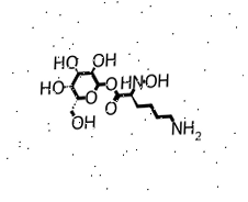 NCCCC[C@H](NO)C(=O)OC1O[C@H](CO)[C@H](O)[C@H](O)[C@H]1O